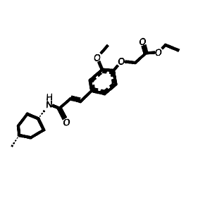 CCOC(=O)COc1ccc(C=CC(=O)N[C@H]2CC[C@@H](C)CC2)cc1OC